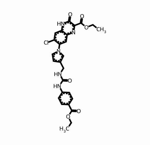 CCOC(=O)c1ccc(NC(=O)NCc2ccn(-c3cc4nc(C(=O)OCC)c(=O)[nH]c4cc3Cl)c2)cc1